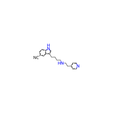 N#Cc1ccc2[nH]cc(CCCCNCCc3ccncc3)c2c1